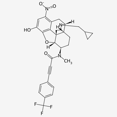 CN(C(=O)C#Cc1ccc(C(F)(F)F)cc1)[C@@H]1CC[C@H]2[C@H]3Cc4c([N+](=O)[O-])cc(O)c5c4[C@@]2(CCN3CC2CC2)[C@H]1O5